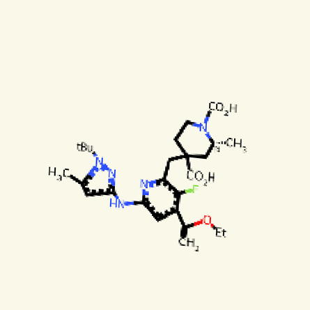 C=C(OCC)c1cc(Nc2cc(C)n(C(C)(C)C)n2)nc(CC2(C(=O)O)CCN(C(=O)O)[C@H](C)C2)c1F